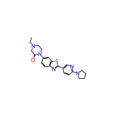 CCN1CCN(c2ccc3nc(-c4ccc(N5CCCC5)nc4)sc3c2)C(=O)C1